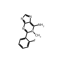 Cn1c(-c2ccccc2F)nc2ncnc-2c1N